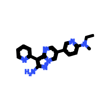 CCN(C)c1ccc(-c2cnc3c(-c4ccccn4)c(N)nn3c2)cn1